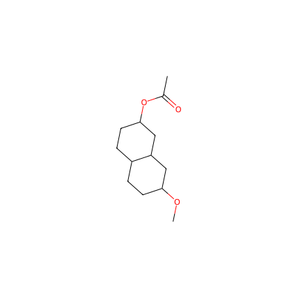 COC1CCC2CCC(OC(C)=O)CC2C1